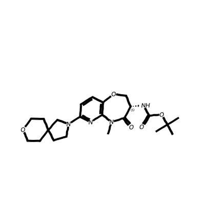 CN1C(=O)[C@@H](NC(=O)OC(C)(C)C)COc2ccc(N3CCC4(CCOCC4)C3)nc21